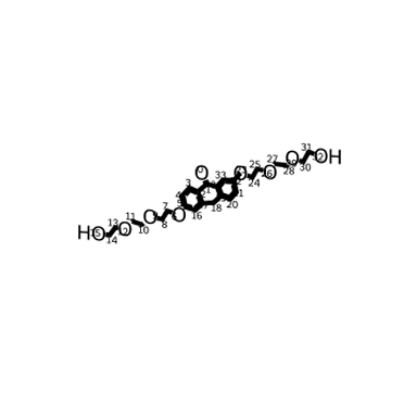 O=C1c2ccc(OCCOCCOCCO)cc2Cc2ccc(OCCOCCOCCO)cc21